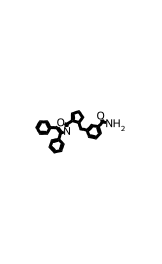 NC(=O)c1cccc(CC2CCC=C2c2nc(-c3ccccc3)c(-c3ccccc3)o2)c1